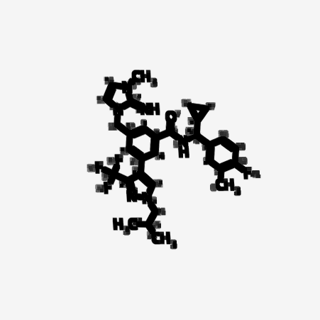 Cc1cc([C@@H](NC(=O)c2cc(Cn3ccn(C)c3=N)cc(-c3cn(CC(C)C)nc3C(F)(F)F)c2)C2CC2)ccc1F